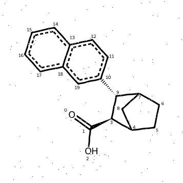 O=C(O)[C@@H]1C2CCC(C2)[C@H]1c1ccc2ccccc2c1